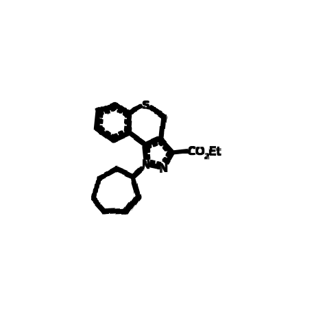 CCOC(=O)c1nn(C2CCCCCC2)c2c1CSc1ccccc1-2